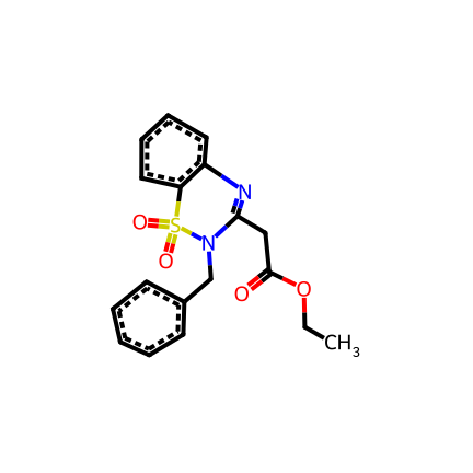 CCOC(=O)CC1=Nc2ccccc2S(=O)(=O)N1Cc1ccccc1